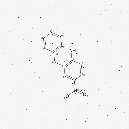 Nc1ccc([N+](=O)[O-])cc1Cc1ccccc1